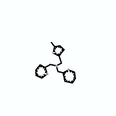 Cc1ccc(CN(Cc2ccccn2)Cc2ccccn2)s1